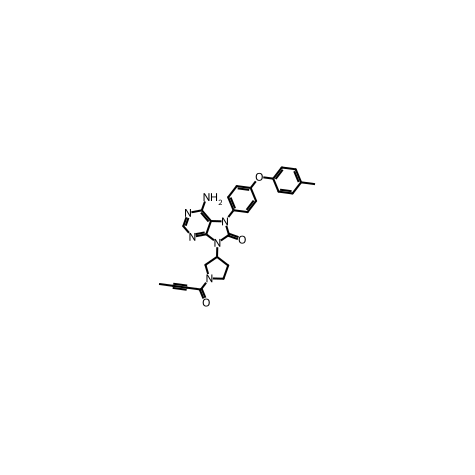 CC#CC(=O)N1CCC(n2c(=O)n(-c3ccc(Oc4ccc(C)cc4)cc3)c3c(N)ncnc32)C1